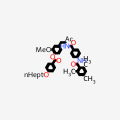 CCCCCCCOc1ccc(C(=O)Oc2ccc(CC(NC(=O)c3ccc(NC(=O)c4c(C)cc(C)cc4C)cc3)C(C)=O)cc2OC)cc1